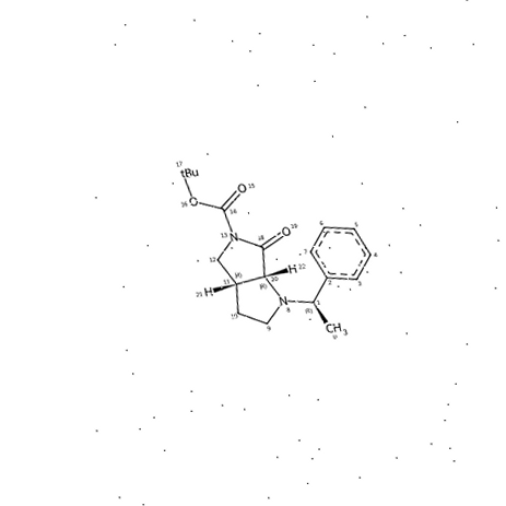 C[C@H](c1ccccc1)N1CC[C@@H]2CN(C(=O)OC(C)(C)C)C(=O)[C@@H]21